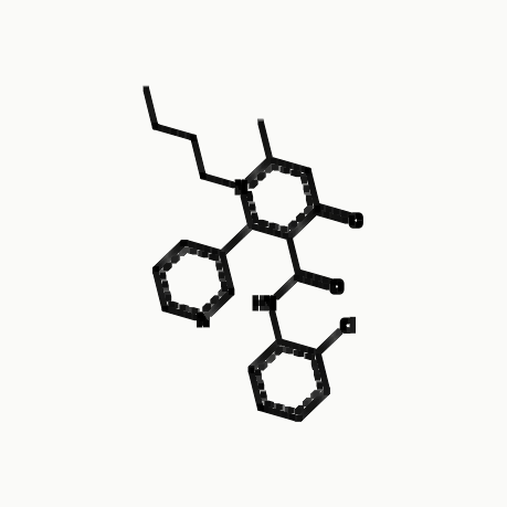 CCCCn1c(C)cc(=O)c(C(=O)Nc2ccccc2Cl)c1-c1cccnc1